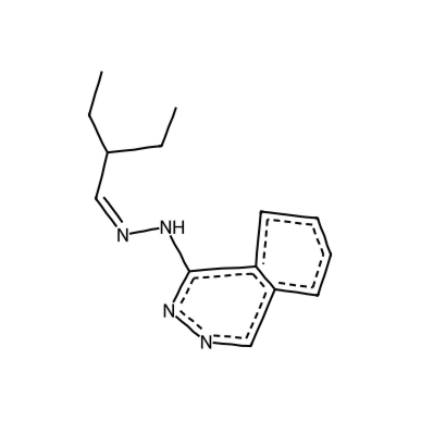 CCC(/C=N\Nc1nncc2ccccc12)CC